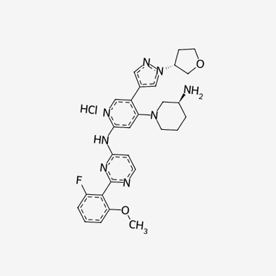 COc1cccc(F)c1-c1nccc(Nc2cc(N3CCC[C@H](N)C3)c(-c3cnn([C@@H]4CCOC4)c3)cn2)n1.Cl